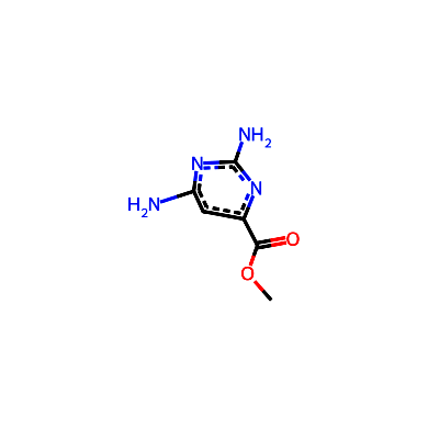 COC(=O)c1cc(N)nc(N)n1